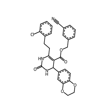 N#Cc1cccc(COC(=O)C2=C(CCc3ccccc3Cl)NC(=O)NC2c2ccc3c(c2)OCCO3)c1